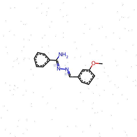 COc1cccc(/C=N/N=C(\N)c2ccccc2)c1